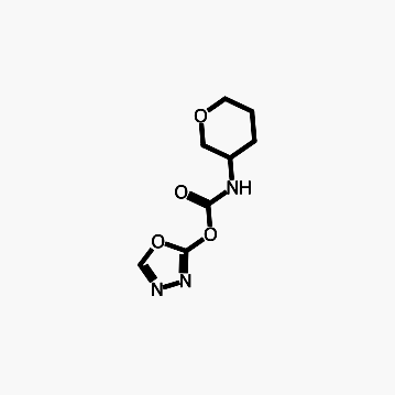 O=C(NC1CCCOC1)Oc1nnco1